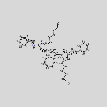 CCCCCCc1cc(/C=N/c2ccccc2)sc1-c1cc(-c2sc(/C=N/c3ccccc3)cc2CCCCCC)c2cccccc1-2